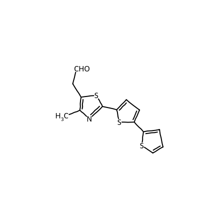 Cc1nc(-c2ccc(-c3cccs3)s2)sc1CC=O